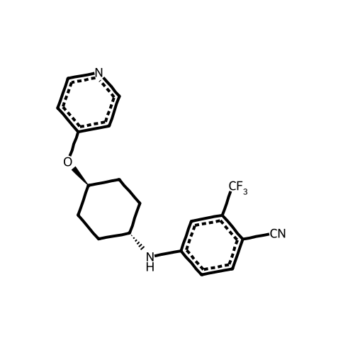 N#Cc1ccc(N[C@H]2CC[C@H](Oc3ccncc3)CC2)cc1C(F)(F)F